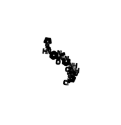 Cc1nc2cc(NCCN3CCCC3)ccc2c(=O)n1-c1ccc(NC(=O)NS(=O)(=O)c2ccc(Cl)s2)cn1